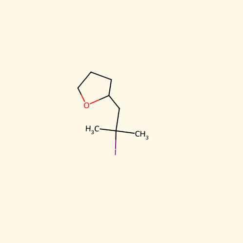 CC(C)(I)CC1CCCO1